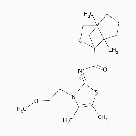 COCCn1c(C)c(C)s/c1=N\C(=O)C12CC3CCC1(C)C3(C)CO2